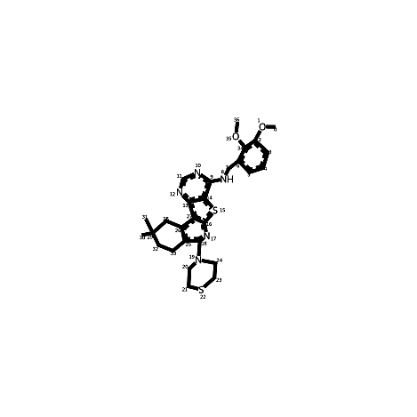 COc1cccc(CNc2ncnc3c2sc2nc(N4CCSCC4)c4c(c23)CC(C)(C)CC4)c1OC